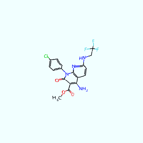 COC(=O)c1c(N)c2ccc(NCC(F)(F)F)nc2n(-c2ccc(Cl)cc2)c1=O